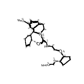 COCO[C@@H]1CCC[C@@H]1OCCNCC(=O)N1CCc2ccc(OC)cc2C1C1CCCCC1